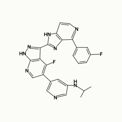 CC(C)Nc1cncc(-c2cnc3[nH]nc(-c4nc5c(-c6cccc(F)c6)nccc5[nH]4)c3c2F)c1